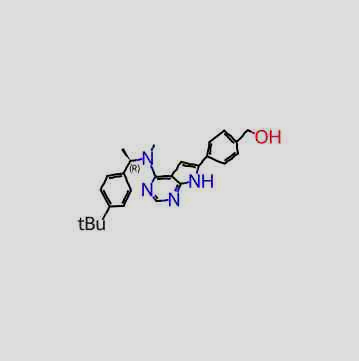 C[C@H](c1ccc(C(C)(C)C)cc1)N(C)c1ncnc2[nH]c(-c3ccc(CO)cc3)cc12